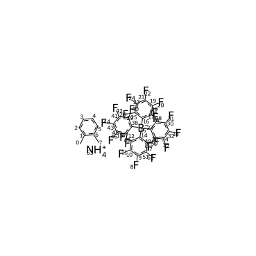 Cc1ccccc1C.Fc1c(F)c(F)c([B-](c2c(F)c(F)c(F)c(F)c2F)(c2c(F)c(F)c(F)c(F)c2F)c2c(F)c(F)c(F)c(F)c2F)c(F)c1F.[NH4+]